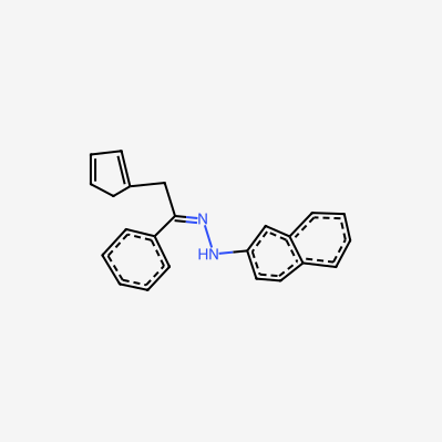 C1=CCC(CC(=NNc2ccc3ccccc3c2)c2ccccc2)=C1